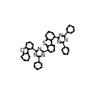 c1ccc(-c2nc(-c3cccc4c3sc3cccc(-c5nc(-c6ccccc6)nc(-c6ccccc6)n5)c34)nc(-c3cccc4oc5ccccc5c34)n2)cc1